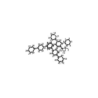 CC1(C)c2ccccc2-c2cc(-c3ccccc3-c3nc(-c4ccc(-c5ccccc5)cc4)nc(-c4ccc(-c5ccccc5)nc4)n3)ccc2C1(C)C